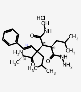 CC(C)C[C@@H](C(=O)NN)[C@H](C(=O)NO)C(/C=C/c1ccccc1)(CC(C)C)C(=O)[C@H](C)N.Cl